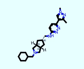 Cc1nn(C)cc1-c1ccc(NC[C@@H]2C[C@@H]3CN(CC4CCCCC4)C[C@@H]3C2)nn1